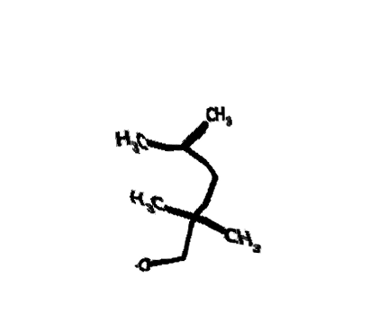 CC(C)CC(C)(C)C[O]